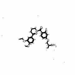 CCOc1cc(C2=NN(C(=O)c3ccc(OCC(C)N)cc3F)CCC2)ccc1OC